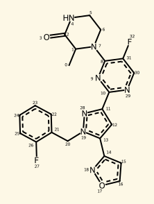 CC1C(=O)NCCN1c1nc(-c2cc(-c3ccon3)n(Cc3ccccc3F)n2)ncc1F